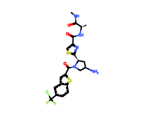 CNC(=O)[C@H](C)NC(=O)c1csc([C@@H]2C[C@@H](N)CN2C(=O)c2cc3cc(C(F)(F)F)ccc3s2)n1